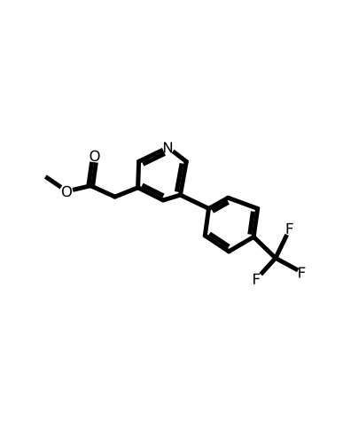 COC(=O)Cc1cncc(-c2ccc(C(F)(F)F)cc2)c1